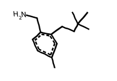 Cc1ccc(CN)c(CCC(C)(C)C)c1